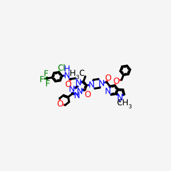 CCc1c(N2CCN(C(=O)c3ncc4c(ccn4C)c3OCc3ccccc3)CC2)c(=O)n2nc(C3=CCOCC3)nc2n1CC(=O)Nc1ccc(C(F)(F)F)cc1Cl